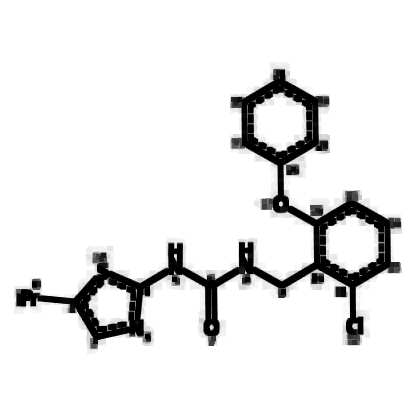 CC(C)c1cnc(NC(=O)NCc2c(Cl)cccc2Oc2ccccc2)s1